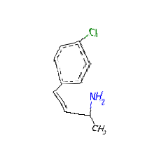 CC(N)/C=C\c1ccc(Cl)cc1